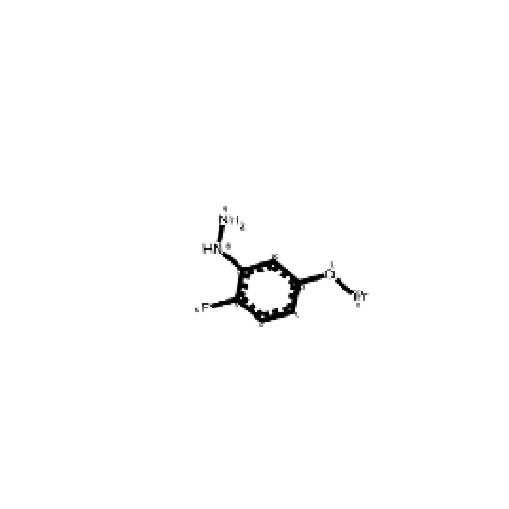 CC(C)Oc1ccc(F)c(NN)c1